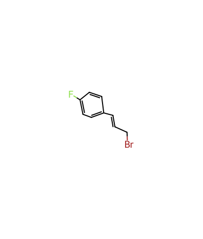 Fc1ccc(/C=C/CBr)cc1